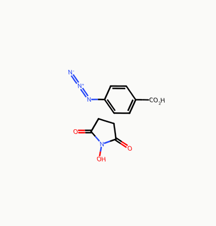 O=C1CCC(=O)N1O.[N-]=[N+]=Nc1ccc(C(=O)O)cc1